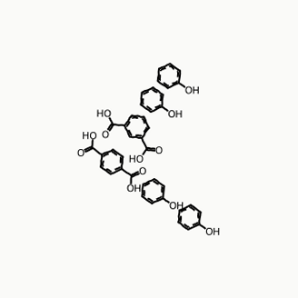 O=C(O)c1ccc(C(=O)O)cc1.O=C(O)c1cccc(C(=O)O)c1.Oc1ccccc1.Oc1ccccc1.Oc1ccccc1.Oc1ccccc1